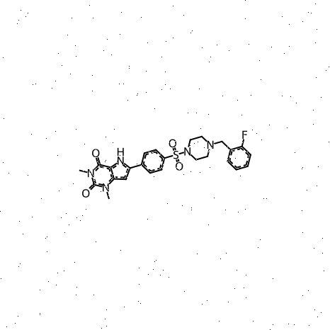 Cn1c(=O)c2[nH]c(-c3ccc(S(=O)(=O)N4CCN(Cc5ccccc5F)CC4)cc3)cc2n(C)c1=O